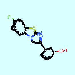 Oc1cccc(-c2cn3c(n2)sc2cc(F)ccc23)c1